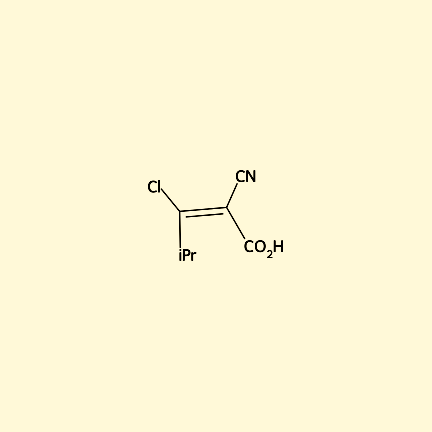 CC(C)C(Cl)=C(C#N)C(=O)O